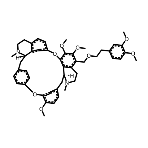 COc1ccc(CCOCc2c3c4c(c(OC)c2OC)Oc2ccc5c(c2)[C@H](Cc2ccc(cc2)Oc2cc(ccc2OC)C[C@@H]4N(C)CC3)N(C)CC5)cc1OC